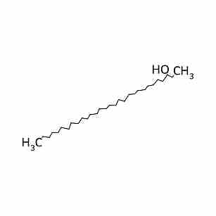 CCCCCCCCCCCCCCCCCCCCCCCCCCCC(O)CC